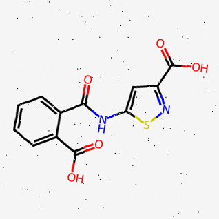 O=C(O)c1cc(NC(=O)c2ccccc2C(=O)O)sn1